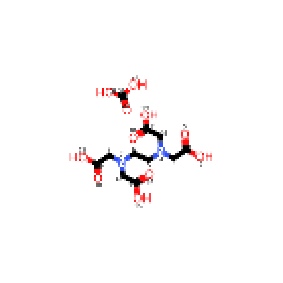 O=C(O)CN(CCN(CC(=O)O)CC(=O)O)CC(=O)O.O=C(O)O